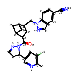 Cc1ncc(C2CC=NN2C(=O)C2CC(Cn3ncc4cc(C#N)ccc43)C3CC2C3)cc1F